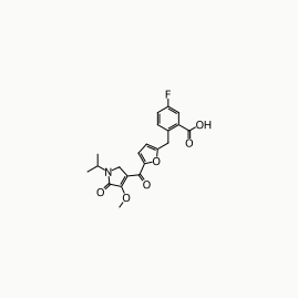 COC1=C(C(=O)c2ccc(Cc3ccc(F)cc3C(=O)O)o2)CN(C(C)C)C1=O